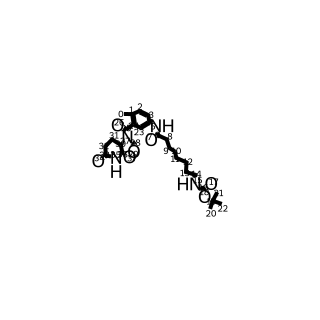 Cc1ccc(NC(=O)CCCCCCCNC(=O)OC(C)(C)C)cc1C(=O)N(C=O)C1CCC(=O)NC1=O